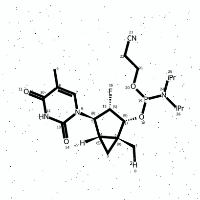 [2H]C[C@@]12C[C@@H]1[C@@H](n1cc(C)c(=O)[nH]c1=O)[C@H](F)[C@@H]2OP(OCCC#N)N(C(C)C)C(C)C